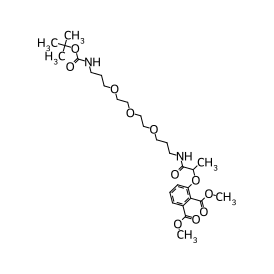 COC(=O)c1cccc(OC(C)C(=O)NCCCOCCOCCOCCCNC(=O)OC(C)(C)C)c1C(=O)OC